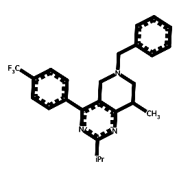 CC(C)c1nc(-c2ccc(C(F)(F)F)cc2)c2c(n1)C(C)CN(Cc1ccccc1)C2